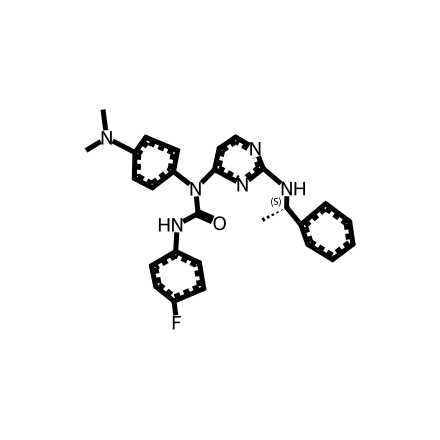 C[C@H](Nc1nccc(N(C(=O)Nc2ccc(F)cc2)c2ccc(N(C)C)cc2)n1)c1ccccc1